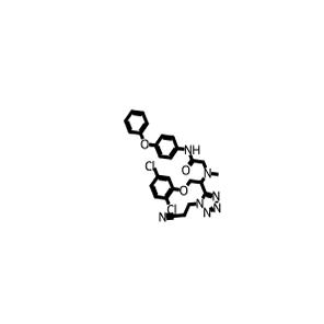 CN(CC(=O)Nc1ccc(Oc2ccccc2)cc1)C(COc1cc(Cl)ccc1Cl)c1nnnn1CCC#N